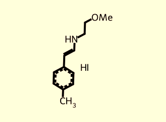 COCCNC=Cc1ccc(C)cc1.I